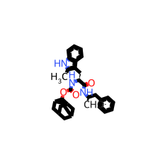 Cc1[nH]c2ccccc2c1C[C@@H](NC(=O)OC1C2CC3CC(C2)CC1C3)C(=O)N[C@H]([C]=O)Cc1ccccc1